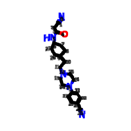 N#CCC(=O)NC1CCC(CCN2CCN(c3ccc(C#N)cc3)CC2)CC1